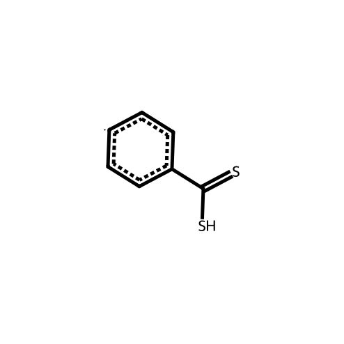 S=C(S)c1cc[c]cc1